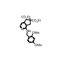 CCOC(=O)C1(C(=O)OCC)Cc2ccnc(NCc3ccc(OC)cc3OC)c2C1